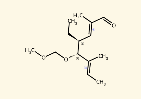 C/C=C(\C)[C@H](OCOC)[C@H](/C=C(\C)C=O)CC